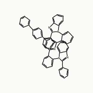 c1ccc(-c2ccc(-c3nc(-c4ccccc4-n4c(-c5ccccc5)nc5ccccc54)nc(-c4ccccc4-n4c(-c5ccccc5)nc5ccccc54)n3)cc2)cc1